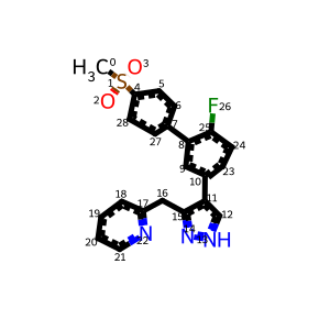 CS(=O)(=O)c1ccc(-c2cc(-c3c[nH]nc3Cc3ccccn3)ccc2F)cc1